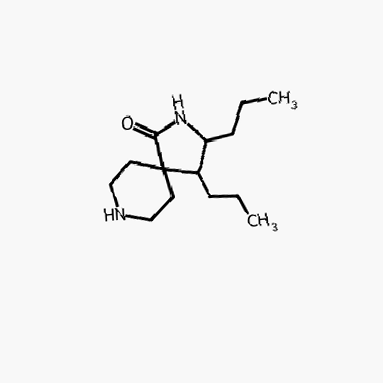 CCCC1NC(=O)C2(CCNCC2)C1CCC